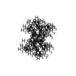 CC1(C)CC(OC2=NN(OC3CC(C)(C)NC(C)(C)C3)NC(NCCN(CCN(CCNC3=CC(OC4CC(C)(C)NC(C)(C)C4)=NN(OC4CC(C)(C)NC(C)(C)C4)N3)C3=CC(OC4CC(C)(C)NC(C)(C)C4)=NN(OC4CC(C)(C)NC(C)(C)C4)N3)C3=CC(OC4CC(C)(C)NC(C)(C)C4)=NN(OC4CC(C)(C)NC(C)(C)C4)N3)=C2)CC(C)(C)N1